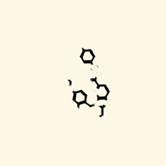 CCOc1ccc(Cn2c(CC)nc3ccc(C(=O)NS(=O)(=O)c4ccc(C)cc4)nc32)c(Cl)c1